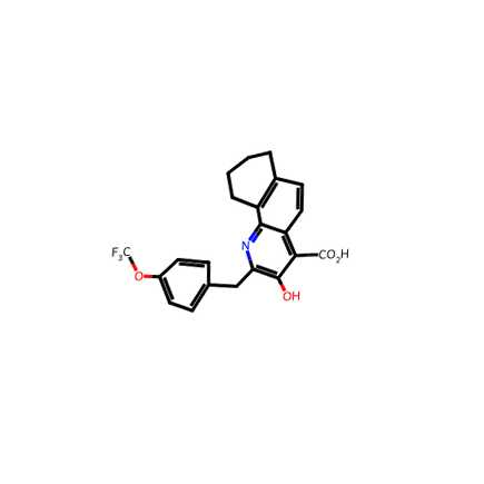 O=C(O)c1c(O)c(Cc2ccc(OC(F)(F)F)cc2)nc2c3c(ccc12)CCCC3